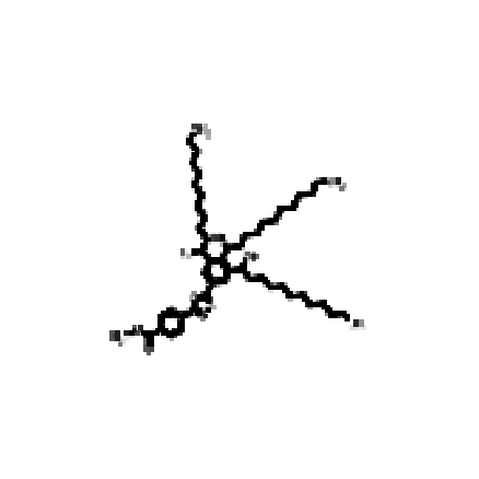 CCCCCCCCCCCC(O)c1cc(-c2nnc(-c3ccc(C(=O)OC)cc3)o2)cc(C(O)CCCCCCCCCCC)c1C(O)CCCCCCCCCCC